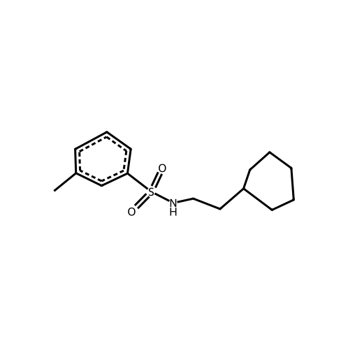 Cc1cccc(S(=O)(=O)NCCC2CCCCC2)c1